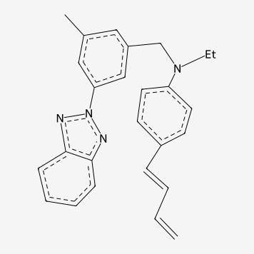 C=C/C=C/c1ccc(N(CC)Cc2cc(C)cc(-n3nc4ccccc4n3)c2)cc1